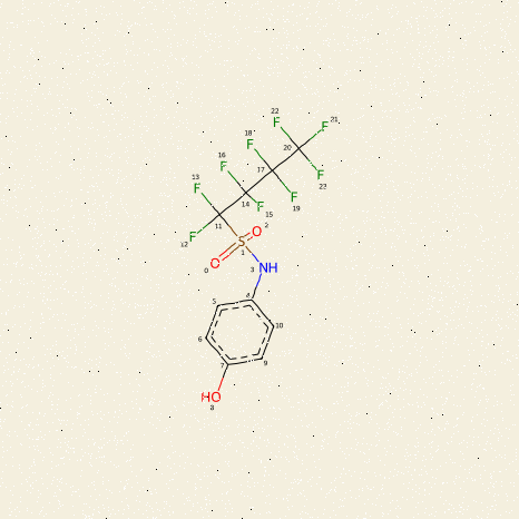 O=S(=O)(Nc1ccc(O)cc1)C(F)(F)C(F)(F)C(F)(F)C(F)(F)F